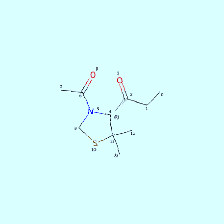 CCC(=O)[C@H]1N(C(C)=O)CSC1(C)C